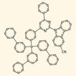 N#Cc1ccc2c(c1)c1ccccc1n2-c1nc(-c2ccccc2)cc(-c2cccc([Si](c3cccc(-c4ccccc4)c3)(c3cccc(-c4ccccc4)c3)c3cccc(-c4ccccc4)c3)c2)n1